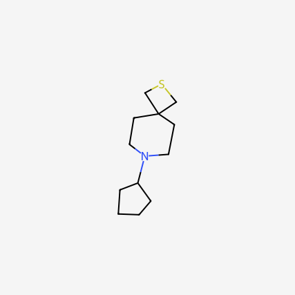 C1CCC(N2CCC3(CC2)CSC3)C1